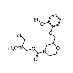 CCOc1ccccc1OCC1CN(C(=O)OC[C@@H](C)CCl)CCO1